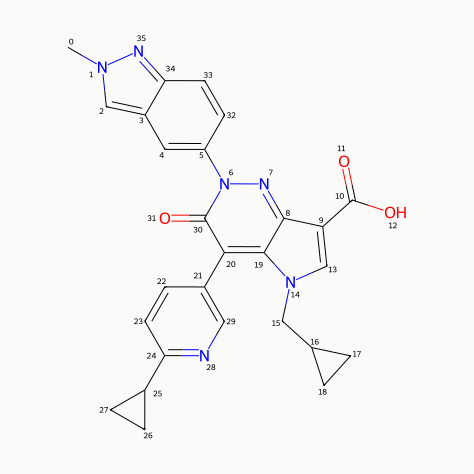 Cn1cc2cc(-n3nc4c(C(=O)O)cn(CC5CC5)c4c(-c4ccc(C5CC5)nc4)c3=O)ccc2n1